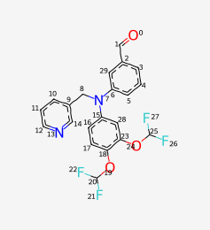 O=Cc1cccc(N(Cc2cccnc2)c2ccc(OC(F)F)c(OC(F)F)c2)c1